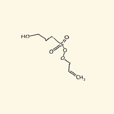 C=CCOOS(=O)(=O)CCCO